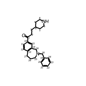 O=C(CCC1CCNCC1)c1ccc2c(c1)CN(Cc1ccccc1)CCC2